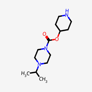 CC(C)N1CCN(C(=O)OC2CCNCC2)CC1